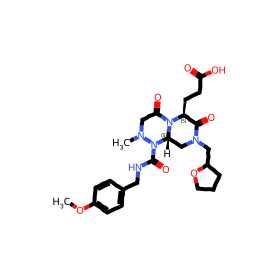 COc1ccc(CNC(=O)N2[C@H]3CN(CC4CCCO4)C(=O)[C@H](CCC(=O)O)N3C(=O)CN2C)cc1